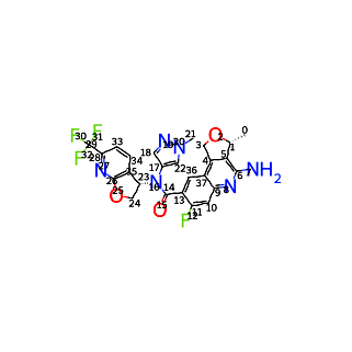 C[C@H]1OCc2c1c(N)nc1cc(F)c(C(=O)N(c3cnn(C)c3)[C@@H]3COc4nc(C(F)(F)F)ccc43)cc21